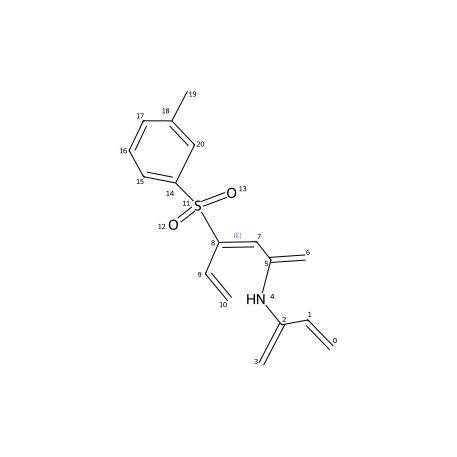 C=CC(=C)NC(=C)/C=C(\C=C)S(=O)(=O)c1cccc(C)c1